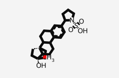 C[C@]12CCC3c4ccc(C5CCCN5S(=O)(=O)O)cc4CCC3[C@]13CC[C@]2(O)CC3